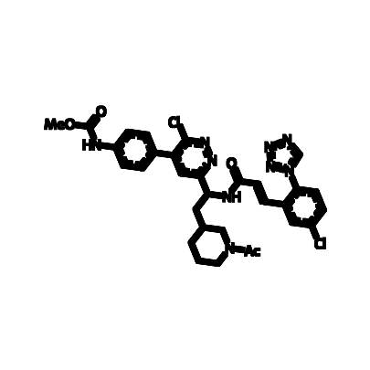 COC(=O)Nc1ccc(-c2cc(C(CC3CCCN(C(C)=O)C3)NC(=O)/C=C/c3cc(Cl)ccc3-n3cnnn3)nnc2Cl)cc1